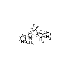 Cc1nccnc1-c1cc([C@@H]2CCCN2C(=O)OC(C)(C)C)on1